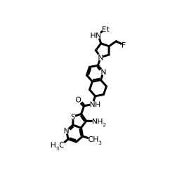 CCNC1CN(c2ccc3c(n2)CCC(NC(=O)c2sc4nc(C)cc(C)c4c2N)C3)CC1CF